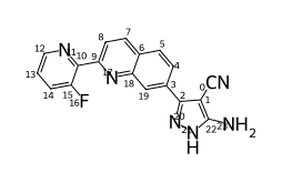 N#Cc1c(-c2ccc3ccc(-c4ncccc4F)nc3c2)n[nH]c1N